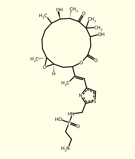 C/C(=C\c1csc(CNP(=O)(O)CCN)n1)C1C[C@H]2O[C@@]2(C)CCCC(C)[C@@H](O)[C@H](C)C(=O)C(C)(C)C(O)CC(=O)O1